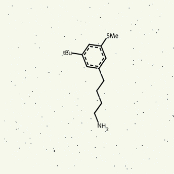 CSc1cc(CCCCN)cc(C(C)(C)C)c1